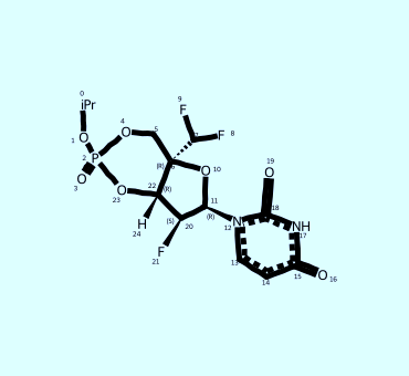 CC(C)OP1(=O)OC[C@@]2(C(F)F)O[C@@H](n3ccc(=O)[nH]c3=O)[C@@H](F)[C@@H]2O1